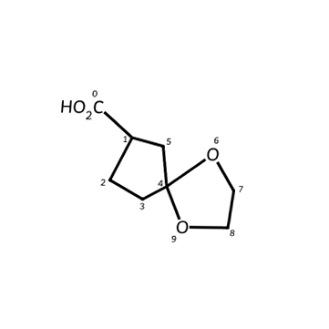 O=C(O)C1CCC2(C1)OCCO2